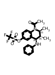 CC(=O)N1c2ccc(OS(=O)(=O)C(F)(F)F)cc2[C@H](Nc2ccccc2)[C@@H](C)[C@@H]1C